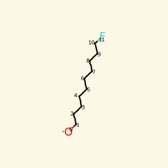 [O]CCCCCCCCCCF